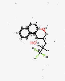 CC(C)(CC1COc2ccc3ccccc3c2[C@H]1O)C(F)(F)F